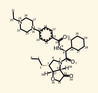 CCC[C@@H]1CN(C(=O)[C@@H](NC(=O)c2ccc(N3CCN(CC)CC3)cc2)C2CCCCC2)[C@@H]2C(=O)CO[C@H]12